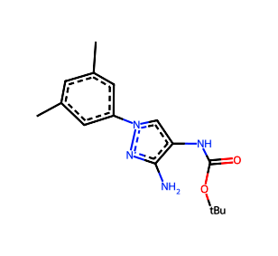 Cc1cc(C)cc(-n2cc(NC(=O)OC(C)(C)C)c(N)n2)c1